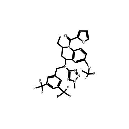 CCC1CC(N(Cc2cc(C(F)(F)F)cc(C(F)(F)F)c2)c2nnn(C)n2)c2cc(OC(F)(F)F)ccc2N1C(=O)c1ccco1